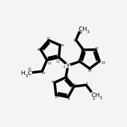 CCC1=[C]([Y]([C]2=C(CC)C=CC2)[C]2=C(CC)C=CC2)CC=C1